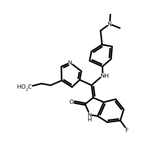 CN(C)Cc1ccc(NC(=C2C(=O)Nc3cc(F)ccc32)c2cncc(CCC(=O)O)c2)cc1